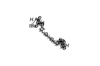 C[C@@H](OCc1ccc(CCCOCCCCCOCCCc2ccc3c(c2)n(C)c(=O)n3C2CCC(=O)NC2=O)cc1)[C@H](CCC(N)=O)NC(=O)OC(C)(C)C